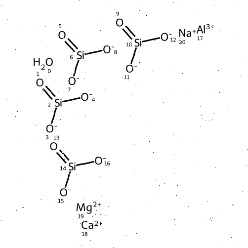 O.O=[Si]([O-])[O-].O=[Si]([O-])[O-].O=[Si]([O-])[O-].O=[Si]([O-])[O-].[Al+3].[Ca+2].[Mg+2].[Na+]